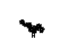 c1cncc(-c2nccc3[nH]c(-c4n[nH]c5cnc(-c6cncc(CNCC7CCCC7)c6)cc45)nc23)c1